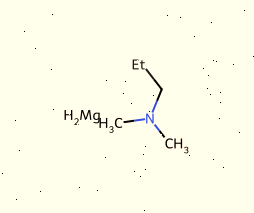 [CH2]CCN(C)C.[MgH2]